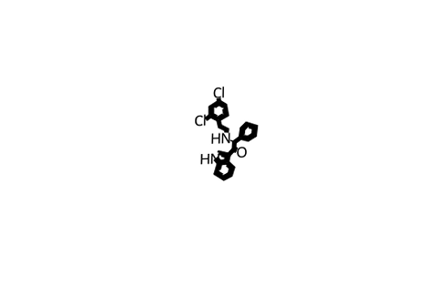 O=C(c1c[nH]c2ccccc12)[C@H](NCCc1ccc(Cl)cc1Cl)c1ccccc1